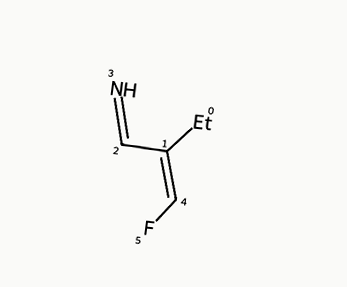 CC/C(C=N)=C/F